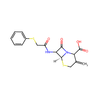 C=C1CS[C@H]2C(NC(=O)CSc3ccccc3)C(=O)N2C1C(=O)O